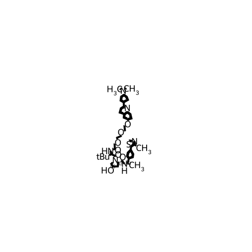 Cc1ncsc1-c1ccc([C@H](C)NC(=O)[C@@H]2C[C@@H](O)CN2C(=O)C(NC(=O)COCCOCCOc2ccc3nc(-c4ccc(N(C)C)cc4)ccc3c2)C(C)(C)C)cc1